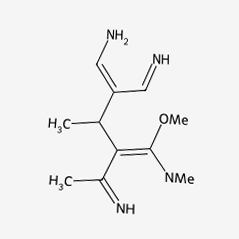 CN/C(OC)=C(\C(C)=N)C(C)/C(C=N)=C/N